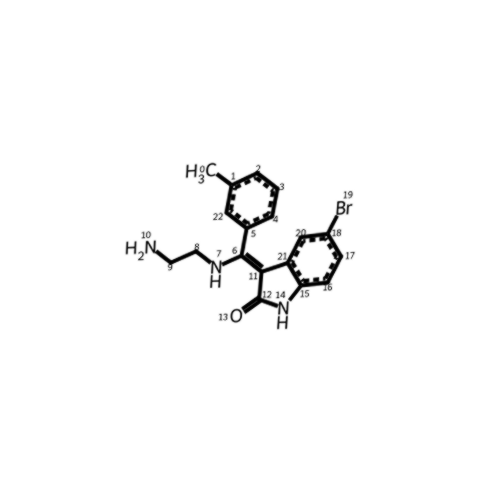 Cc1cccc(/C(NCCN)=C2/C(=O)Nc3ccc(Br)cc32)c1